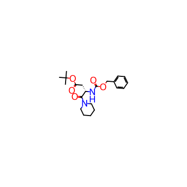 CC(C)(C)OC(=O)C[C@H](NC(=O)OCc1ccccc1)C(=O)N1CCCCC1